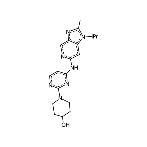 Cc1nc2cnc(Nc3ccnc(N4CCC(O)CC4)n3)cc2n1C(C)C